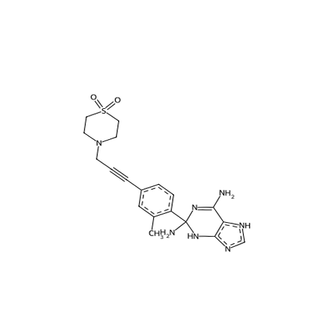 Cc1cc(C#CCN2CCS(=O)(=O)CC2)ccc1C1(N)N=C(N)c2[nH]cnc2N1